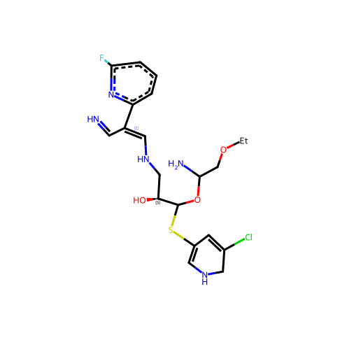 CCOCC(N)OC(SC1=CNCC(Cl)=C1)[C@@H](O)CN/C=C(\C=N)c1cccc(F)n1